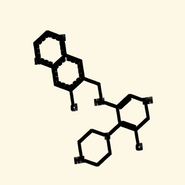 ClC1=C(N2CCNCC2)C(NCc2cc3nccnc3cc2Cl)=CNC1